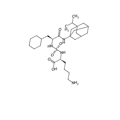 CC(C)C12CC3CC(CC(NC(=O)[C@H](CC4CCCCC4)NS(=O)(=O)N[C@@H](CCCCN)C(=O)O)(C3)C1)C2